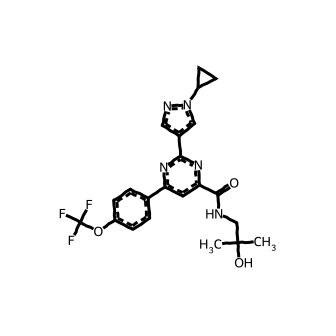 CC(C)(O)CNC(=O)c1cc(-c2ccc(OC(F)(F)F)cc2)nc(-c2cnn(C3CC3)c2)n1